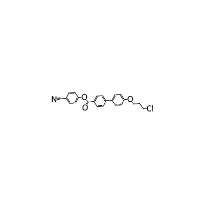 N#Cc1ccc(OC(=O)c2ccc(-c3ccc(OCCCCl)cc3)cc2)cc1